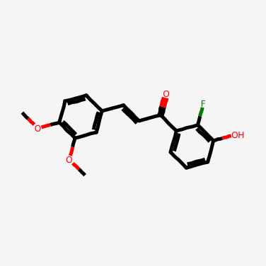 COc1ccc(/C=C/C(=O)c2cccc(O)c2F)cc1OC